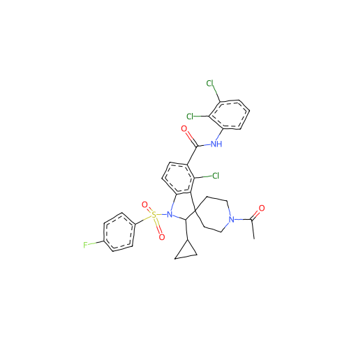 CC(=O)N1CCC2(CC1)c1c(ccc(C(=O)Nc3cccc(Cl)c3Cl)c1Cl)N(S(=O)(=O)c1ccc(F)cc1)C2C1CC1